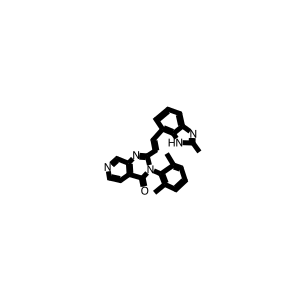 Cc1nc2cccc(/C=C/c3nc4cnccc4c(=O)n3-c3c(C)cccc3C)c2[nH]1